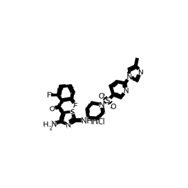 Cc1cn(-c2ccc(S(=O)(=O)N3CCC(Nc4nc(N)c(C(=O)c5c(F)cccc5F)s4)CC3)cn2)cn1.Cl